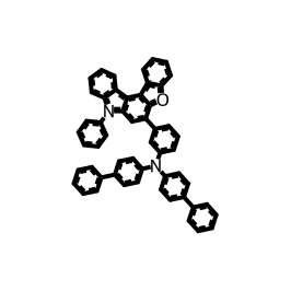 c1ccc(-c2ccc(N(c3ccc(-c4ccccc4)cc3)c3cccc(-c4cc5c(c6ccccc6n5-c5ccccc5)c5c4oc4ccccc45)c3)cc2)cc1